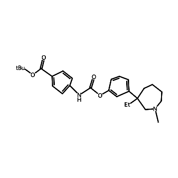 CCC1(c2cccc(OC(=O)Nc3ccc(C(=O)OC(C)(C)C)cc3)c2)CCCCN(C)C1